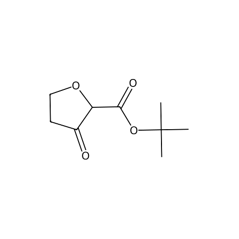 CC(C)(C)OC(=O)C1OCCC1=O